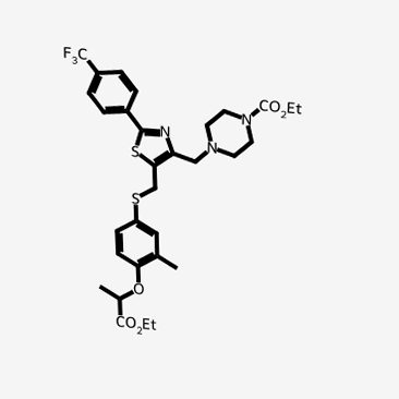 CCOC(=O)C(C)Oc1ccc(SCc2sc(-c3ccc(C(F)(F)F)cc3)nc2CN2CCN(C(=O)OCC)CC2)cc1C